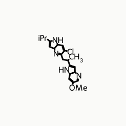 COC1=CC2NC(C(C)CC3=NC4C=C(C(C)C)NC4C=C3Cl)=CC2N=C1